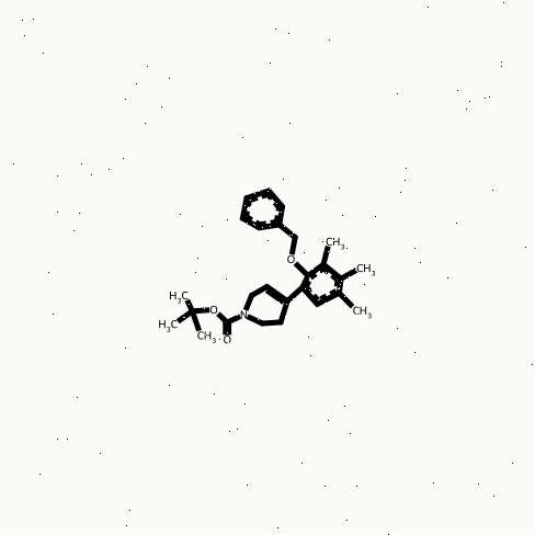 Cc1cc(C2=CCN(C(=O)OC(C)(C)C)CC2)c(OCc2ccccc2)c(C)c1C